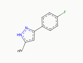 CCCc1cc(-c2ccc(F)cc2)n[nH]1